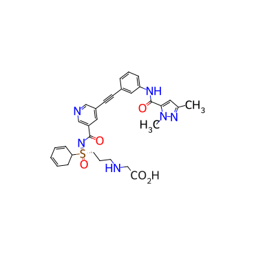 Cc1cc(C(=O)Nc2cccc(C#Cc3cncc(C(=O)N=[S@](=O)(CCCNCC(=O)O)C4C=CC=CC4)c3)c2)n(C)n1